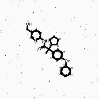 CC(C(=O)Nc1ccc(CO)cn1)(c1ccc(Oc2ccccc2)cc1)C1CCCC1